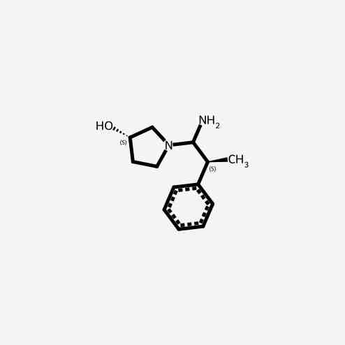 C[C@@H](c1ccccc1)C(N)N1CC[C@H](O)C1